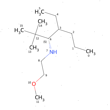 CCCC(CC)[C@H](NCCOC)C(C)(C)C